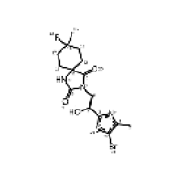 Cc1nc(C(O)CN2C(=O)NC3(CCC(F)(F)CC3)C2=O)sc1Br